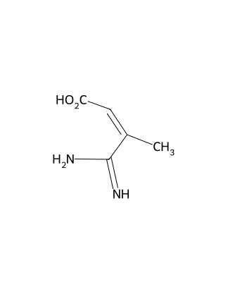 CC(=CC(=O)O)C(=N)N